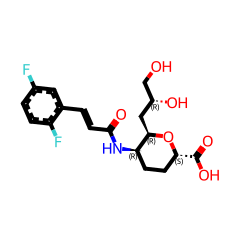 O=C(C=Cc1cc(F)ccc1F)N[C@@H]1CC[C@@H](C(=O)O)O[C@@H]1C[C@@H](O)CO